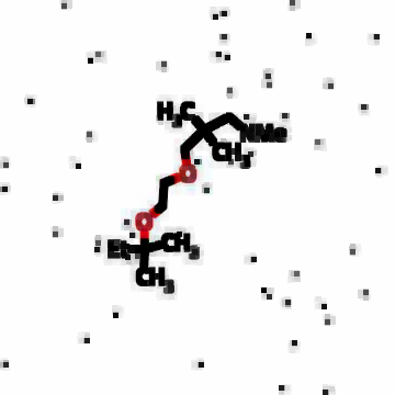 CCC(C)(C)OCCOCC(C)(C)CNC